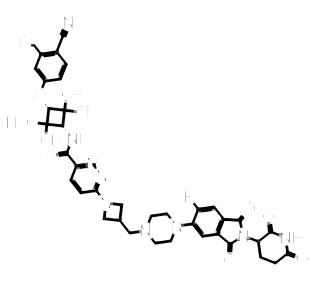 CC1(C)[C@H](NC(=O)c2ccc(N3CC(CN4CCN(c5cc6c(cc5F)C(=O)N(C5CCC(=O)NC5=O)C6=O)CC4)C3)nn2)C(C)(C)[C@H]1Oc1ccc(C#N)c(Cl)c1